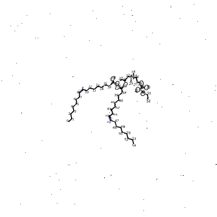 CCCCCCCC/C=C\CCCCCCCC(=O)OCC(C[N+](C)(C)CCOP(=O)([O-])OCC)OC(=O)CCCCCCC/C=C\CCCCCCCC